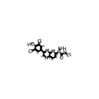 CCNC(=O)N(S)c1ccc2ncc(-c3cc(Cl)c(O)c(Cl)c3)nc2n1